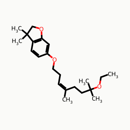 CCOC(C)(C)CCC(C)=CCCOc1ccc2c(c1)OCC2(C)C